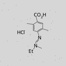 CCN(C)C=Nc1cc(C)c(C(=O)O)cc1C.Cl